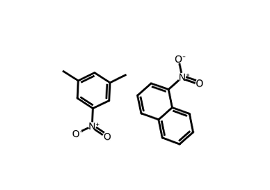 Cc1cc(C)cc([N+](=O)[O-])c1.O=[N+]([O-])c1cccc2ccccc12